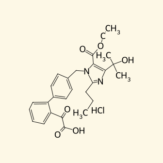 CCCc1nc(C(C)(C)O)c(C(=O)OCC)n1Cc1ccc(-c2ccccc2C(=O)C(=O)O)cc1.Cl